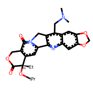 CC[C@@]1(OC(C)C)C(=O)OCc2c1cc1n(c2=O)Cc2c-1nc1cc3c(cc1c2CN(C)C)OCO3